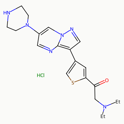 CCN(CC)CC(=O)c1cc(-c2cnn3cc(N4CCNCC4)cnc23)cs1.Cl